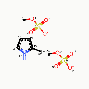 COS(=O)(=O)[O-].COS(=O)(=O)[O-].[In+2][c]1ccc[nH]1